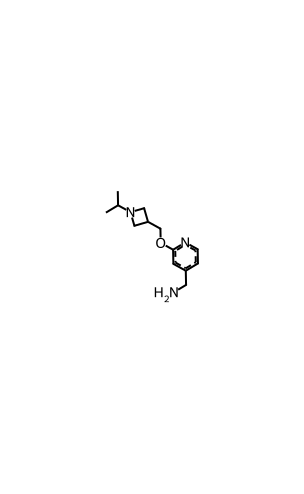 CC(C)N1CC(COc2cc(CN)ccn2)C1